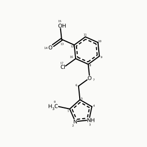 Cc1n[nH]cc1COc1cccc(C(=O)O)c1Cl